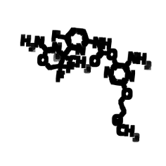 COCCOc1cnc(OC(=O)Nc2ccc(F)c([C@@]3(C)N=C(N)OCC3(F)F)n2)c(N)n1